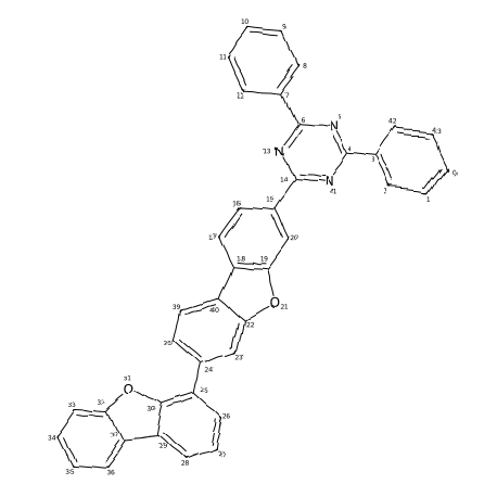 c1ccc(-c2nc(-c3ccccc3)nc(-c3ccc4c(c3)oc3cc(-c5cccc6c5oc5ccccc56)ccc34)n2)cc1